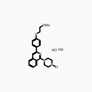 CCN1CCN(c2nc(-c3ccc(OCCOC)cc3)cc3ccccc23)CC1.Cl.Cl